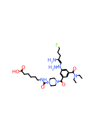 CCN(CC)C(=O)c1cc(C(=O)N2CCN(C(=O)NCCCCCC(=O)O)CC2)cc(N(N)/C=C(\N)CCCF)c1